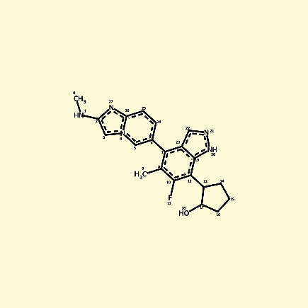 CNc1cn2cc(-c3c(C)c(F)c(C4CCCC4O)c4[nH]ncc34)ccc2n1